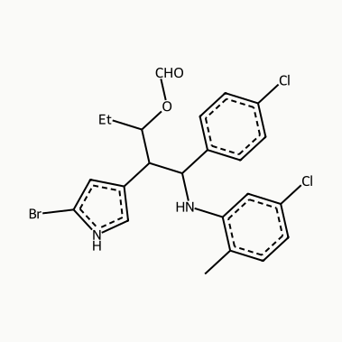 CCC(OC=O)C(c1c[nH]c(Br)c1)C(Nc1cc(Cl)ccc1C)c1ccc(Cl)cc1